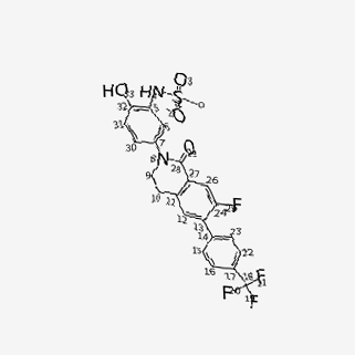 CS(=O)(=O)Nc1cc(N2CCc3cc(-c4ccc(C(F)(F)F)cc4)c(F)cc3C2=O)ccc1O